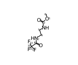 COC(=O)NCCNC(=O)C(F)(F)F